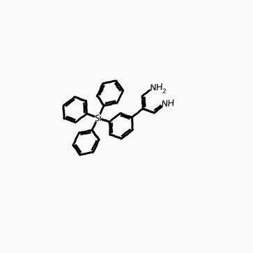 N=C/C(=C\N)c1cccc([Si](c2ccccc2)(c2ccccc2)c2ccccc2)c1